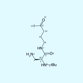 CC(C)(C)N[C@@H](CN)C(=O)NCCCC(=O)I